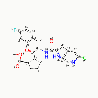 COC(=O)[C@@H]1CCCC1C(=O)[C@H](Cc1ccc(F)cc1)NC(=O)c1cc2cc(Cl)ncc2[nH]1